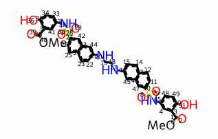 COC(=O)c1cc(NS(=O)(=O)c2ccc3ccc(NCCNc4ccc5ccc(S(=O)(=O)Nc6ccc(O)c(C(=O)OC)c6)cc5c4)cc3c2)ccc1O